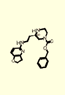 O=C(OCc1ccccc1)N1CCN[C@H](CCNc2ccc3c(n2)CCO3)C1